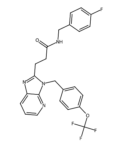 O=C(CCc1nc2cccnc2n1Cc1ccc(OC(F)(F)F)cc1)NCc1ccc(F)cc1